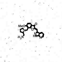 COc1ccc2c(c1CN1CCCC1CN)OC(=Cc1n[nH]c3ncccc13)C2=O